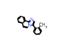 Cc1ccccc1-c1cnc2c3ccccc3ccn12